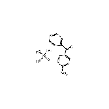 O=C(c1ccccc1)c1ccc([N+](=O)[O-])cc1.O=[As](O)(O)O